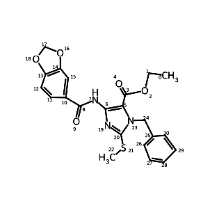 CCOC(=O)c1c(NC(=O)c2ccc3c(c2)OCO3)nc(SC)n1Cc1ccccc1